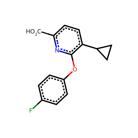 O=C(O)c1ccc(C2CC2)c(Oc2ccc(F)cc2)n1